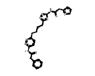 O=C(Cc1ccccc1)Nc1ccc(CCCCc2nnc(NC(=O)Cc3cccs3)s2)nn1